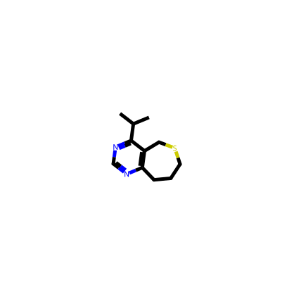 CC(C)c1ncnc2c1CSCCC2